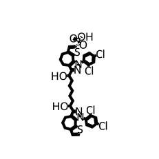 O=S(=O)(O)c1cc2c(s1)-c1c(c(C(O)CCCCCC(O)c3nn(-c4ccc(Cl)cc4Cl)c4c3CCCc3ccsc3-4)nn1-c1ccc(Cl)cc1Cl)CCC2